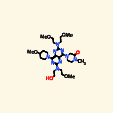 COCCN(CCOC)c1nc(N2CCN(C)C(=O)C2)c2nc(N(CCO)CCOC)nc(N3CCC(OC)CC3)c2n1